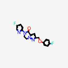 O=C1c2cc(COc3ccc(F)cc3)nn2CCN1c1ccc(F)cn1